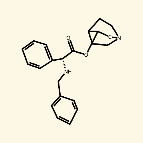 O=C(OC1CN2CCC1CC2)[C@H](NCc1ccccc1)c1ccccc1